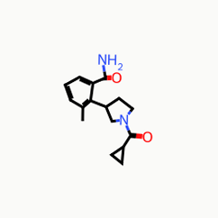 Cc1cccc(C(N)=O)c1C1CCN(C(=O)C2CC2)C1